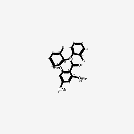 COc1cc(OC)c(C(=O)P(c2ccccc2C)c2ccccc2C)c(OC)c1